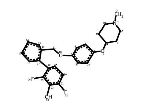 CN1CCC(Oc2ccc(OCc3[c]cccc3-c3ccc(F)c(O)c3F)cc2)CC1